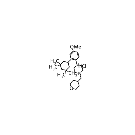 COc1ccc(N2CCN(CC3CCOCC3)CC2)c(C2CC(C)(C)CC(C)(C)C2)c1.Cl